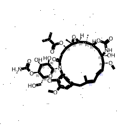 COc1cc2cc(c1Cl)N([C@@H]1O[C@H](CO)[C@@H](OC(N)=O)[C@H](O)[C@H]1O)C(=O)C[C@H](OC(=O)C(C)C)[C@]1(C)O[C@H]1[C@H](C)[C@@H]1C[C@@](O)(NC(=O)O1)[C@H](OC)/C=C/C=C(\C)C2